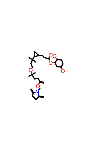 C=C(CCC(C)(C)OCCC(C)(C)C1CC1CCC(=O)OC1CC(=O)CCC1=O)OCN1C(=C)CCC1=C